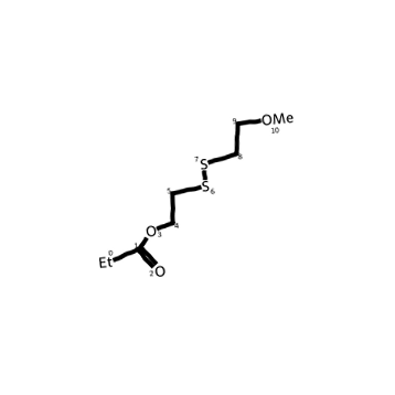 CCC(=O)OCCSSCCOC